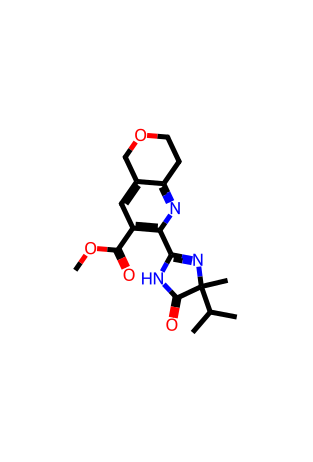 COC(=O)c1cc2c(nc1C1=NC(C)(C(C)C)C(=O)N1)CCOC2